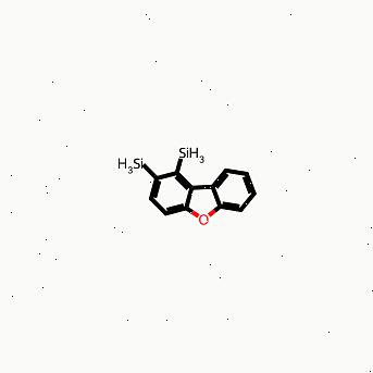 [SiH3]c1ccc2oc3ccccc3c2c1[SiH3]